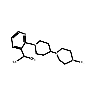 CC(C)c1cccnc1N1CCC(N2CCN(C)CC2)CC1